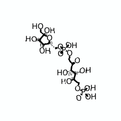 O=C(COP(=O)(O)OC[C@H]1O[C@](O)(CO)[C@@H](O)[C@@H]1O)[C@@H](O)[C@H](O)[C@H](O)COP(=O)(O)O